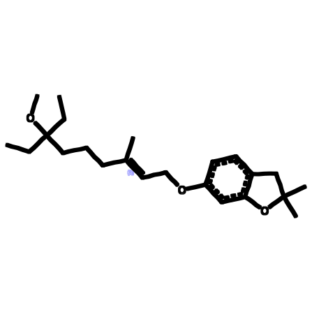 CCC(CC)(CCC/C(C)=C/COc1ccc2c(c1)OC(C)(C)C2)OC